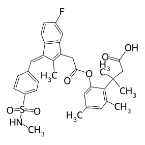 CNS(=O)(=O)c1ccc(C=C2C(C)=C(CC(=O)Oc3cc(C)cc(C)c3C(C)(C)CC(=O)O)c3cc(F)ccc32)cc1